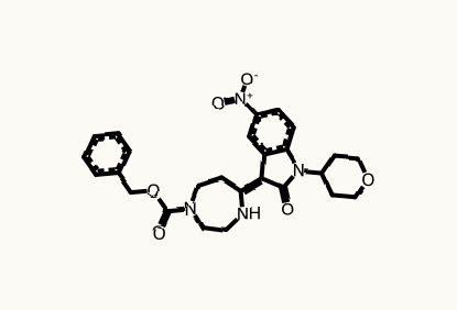 O=C(OCc1ccccc1)N1CCN/C(=C2\C(=O)N(C3CCOCC3)c3ccc([N+](=O)[O-])cc32)CC1